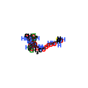 C=CC(=O)Nc1ccc(C(=O)N2CCC[C@@H](NC(=O)c3nn(-c4ccc(NC(=O)/C=C/CN(C)CCC(=O)NCCOCCOCCOCCNC(=O)CCCC[C@@H]5SC[C@@H]6NC(=O)N[C@@H]65)cc4S(=O)(=O)N4CCC(NC(=O)c5n[nH]cc5NC(=O)c5c(Cl)cccc5Cl)CC4)cc3NC(=O)c3c(Cl)cccc3Cl)C2)cc1